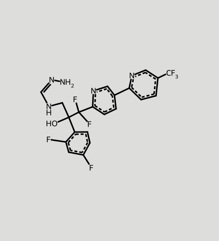 N/N=C\NCC(O)(c1ccc(F)cc1F)C(F)(F)c1ccc(-c2ccc(C(F)(F)F)cn2)cn1